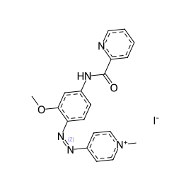 COc1cc(NC(=O)c2ccccn2)ccc1/N=N\c1cc[n+](C)cc1.[I-]